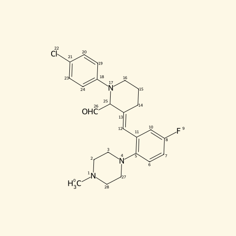 CN1CCN(c2ccc(F)cc2C=C2CCCN(c3ccc(Cl)cc3)C2C=O)CC1